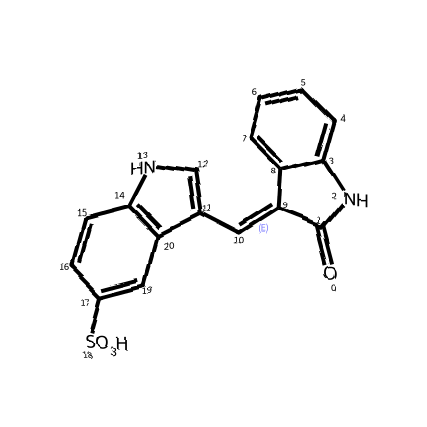 O=C1Nc2ccccc2/C1=C\c1c[nH]c2ccc(S(=O)(=O)O)cc12